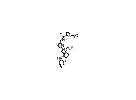 CN1CC[C@@H](Nc2cccc3c2cc(-c2noc(CNC(=O)c4ccn(C5COC5)c4)n2)n3CC(F)(F)F)[C@@H](F)C1